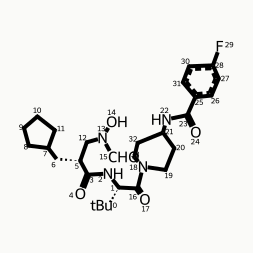 CC(C)(C)[C@H](NC(=O)[C@H](CC1CCCC1)CN(O)C=O)C(=O)N1CCC(NC(=O)c2ccc(F)cc2)CC1